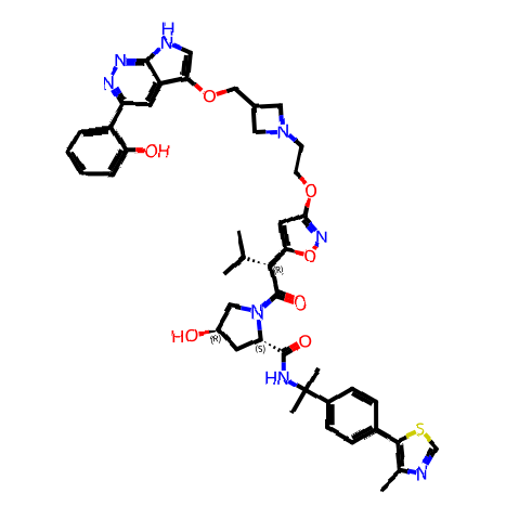 Cc1ncsc1-c1ccc(C(C)(C)NC(=O)[C@@H]2C[C@@H](O)CN2C(=O)[C@@H](c2cc(OCCN3CC(COc4c[nH]c5nnc(-c6ccccc6O)cc45)C3)no2)C(C)C)cc1